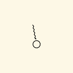 C1CCCCCCCCCCC1.C=CCCCCCCCC